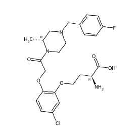 C[C@@H]1CN(Cc2ccc(F)cc2)CCN1C(=O)COc1ccc(Cl)cc1OCC[C@H](N)C(=O)O